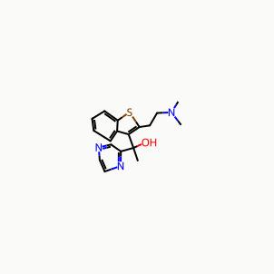 CN(C)CCc1sc2ccccc2c1C(C)(O)c1cnccn1